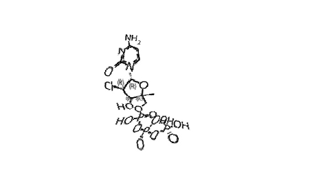 C[C@]1(COP(=O)(O)OP(=O)(O)OP(=O)(O)O)O[C@@H](n2ccc(N)nc2=O)[C@H](Cl)[C@@H]1O